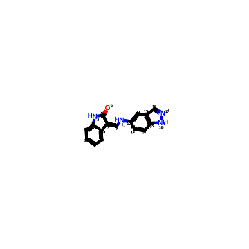 O=C1Nc2ccccc2C1=CNc1ccc2[nH]ncc2c1